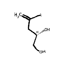 C=C(I)C[C@H](O)CO